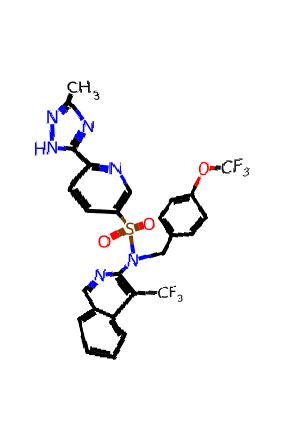 Cc1n[nH]c(-c2ccc(S(=O)(=O)N(Cc3ccc(OC(F)(F)F)cc3)c3ncc4ccccc4c3C(F)(F)F)cn2)n1